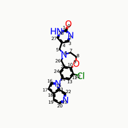 O=c1ncc(CN2CCOc3c(Cl)cc(-n4ccc5ccncc54)cc3C2)c[nH]1